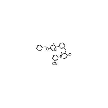 N#Cc1cccc(-n2ccc(=O)c(Cc3cccc(-c4ncc(OCc5ccccc5)cn4)c3)n2)c1